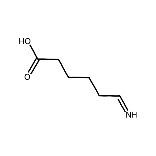 N=CCCCCC(=O)O